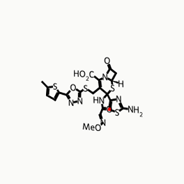 CON=CC(=O)NC1(c2csc(N)n2)S[C@H]2CC(=O)N2C(C(=O)O)=C1CSc1nnc(-c2ccc(C)s2)o1